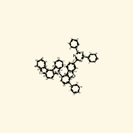 c1ccc(-c2nc(-c3ccccc3)nc(-c3ccc4c(c3)oc3c(-c5ccccc5)ccc(-n5c6ccccc6c6c7c(ccc65)oc5ccccc57)c34)n2)cc1